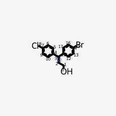 OC/C=C(/c1ccc(Cl)cc1)c1ccc(Br)cc1